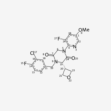 COc1cnc(N2CC(=O)N(Cc3ccc(F)c(Cl)c3)[C@@H](C3COC3)C2=O)c(F)c1